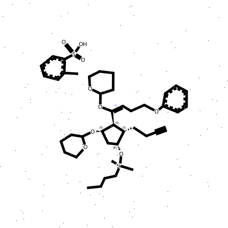 C#CCC[C@H]1[C@H](/C(=C\CCOc2ccccc2)OC2CCCCO2)[C@@H](OC2CCCCO2)C[C@H]1O[Si](C)(C)CCCC.Cc1ccccc1S(=O)(=O)O